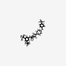 CC(C)(C)c1ccc(CN2CCN(C3CN(C(=O)Nc4cc(C(F)(F)F)cc(C(F)(F)F)c4)C3)CC2)cc1